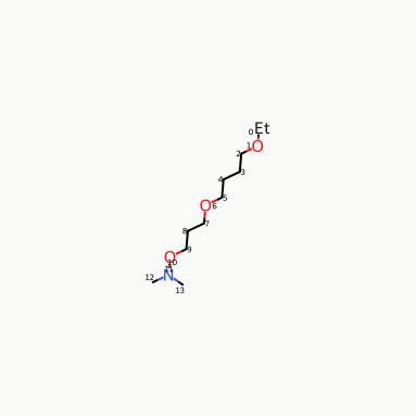 CCOCCCCOCCCON(C)C